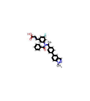 [2H]C(c1ccc(-c2ccc3c(cnn3C)c2)cc1)N(C(=O)c1ccccc1)c1cc(F)cc(/C=C/C(=O)O)c1